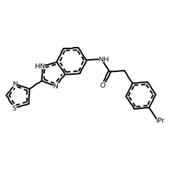 CC(C)c1ccc(CC(=O)Nc2ccc3[nH]c(-c4cscn4)nc3c2)cc1